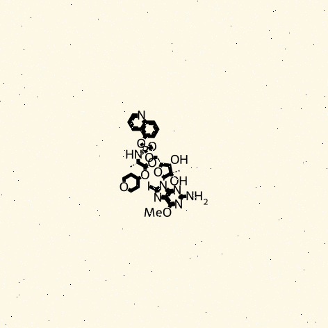 COc1nc(N)nc2c1nc(I)n2[C@@H]1O[C@H](COP(=O)(N[C@@H](C)C(=O)OC2CCOCC2)Oc2cccc3ncccc23)[C@@H](O)[C@@]1(C)O